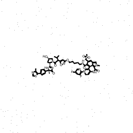 Cc1ncsc1-c1ccc([C@]2(C)NC([C@H]3C[C@@H](O)CN3C(=O)C(c3cc(OCCCCCNC(=O)c4c(CS(C)(=O)=O)cc5cn(C)c6c5c4C4=CN(c5ncc(F)cc5F)CC=C4NC6=O)no3)C(C)C)=NC2=O)cc1